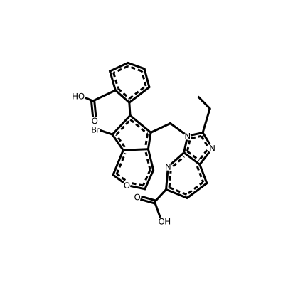 CCc1nc2ccc(C(=O)O)nc2n1Cc1c2ccocc-2c(Br)c1-c1ccccc1C(=O)O